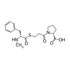 CN[C@@H](Cc1ccccc1)C(=O)SCCC(=O)N1CCC[C@H]1C(=O)O